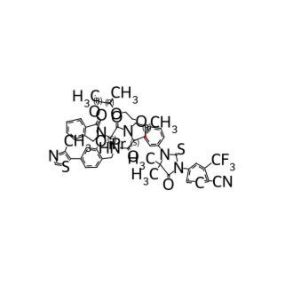 Cc1ncsc1-c1ccc(CNC(=O)[C@@H]2C[C@@H](C)CN2C(=O)[C@H](C(C)C)N2Cc3ccccc3C2=O)c(OCCO[C@H](C)[C@@H](C)OCCOc2ccc(N3C(=S)N(c4ccc(C#N)c(C(F)(F)F)c4)C(=O)C3(C)C)cc2)c1